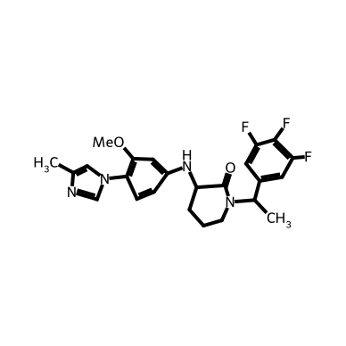 COc1cc(NC2CCCN(C(C)c3cc(F)c(F)c(F)c3)C2=O)ccc1-n1cnc(C)c1